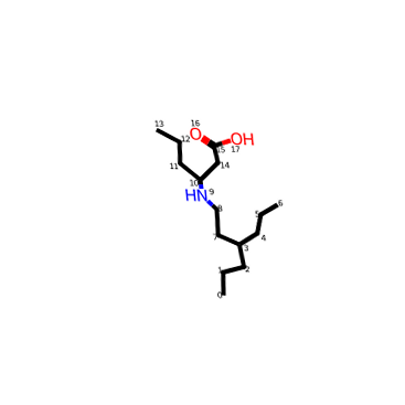 CCCC(CCC)CCNC(CCC)CC(=O)O